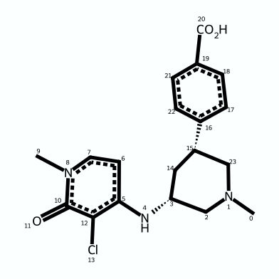 CN1C[C@H](Nc2ccn(C)c(=O)c2Cl)C[C@H](c2ccc(C(=O)O)cc2)C1